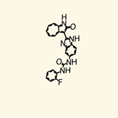 O=C(Nc1ccc2[nH]c(-c3c4cccccc-4[nH]c3=O)nc2c1)Nc1ccccc1F